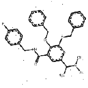 CC(=O)N(C)C(C)c1cc(C(=O)NCc2ccc(F)cc2)c(OCc2ccccc2)c(OCc2ccccc2)n1